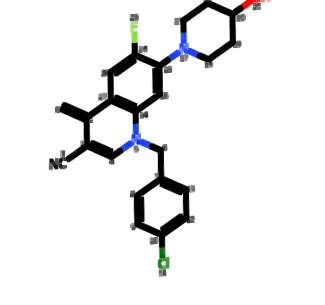 C=C1C(C#N)=CN(Cc2ccc(Cl)cc2)c2cc(N3CCC(O)CC3)c(F)cc21